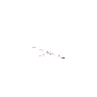 C=CC(=O)OCCC[SiH](COCC)OC